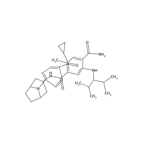 Cc1cc(C(N)=O)c(NC(C(C)C)C(C)C)cc1C(=O)NC1CC2CCC(C1)N2c1ccc(C(=O)C2CC2)cc1